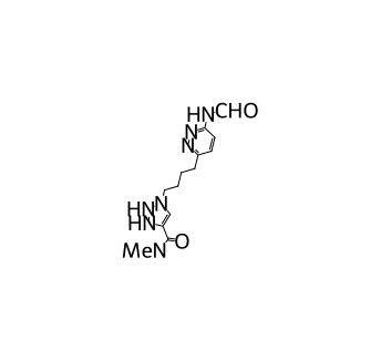 CNC(=O)C1=CN(CCCCc2ccc(NC=O)nn2)NN1